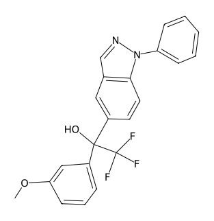 COc1cccc(C(O)(c2ccc3c(cnn3-c3ccccc3)c2)C(F)(F)F)c1